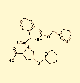 O=C(N[C@H](C(=O)N1CC(OC2CCCCO2)CC1C(=O)O)c1ccccc1)OCc1ccccc1